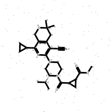 COC(=O)C1CC1C(=O)N1CCN(c2nc(C3CC3)c3c(c2C#N)CC(C)(C)OC3)C[C@H]1C(C)C